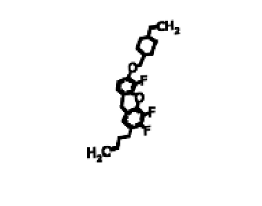 C=CCCc1cc2c(c(F)c1F)Oc1c(ccc(OCC3CCC(C=C)CC3)c1F)C2